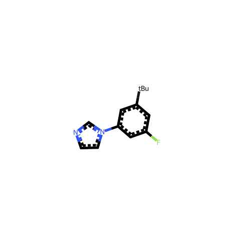 CC(C)(C)c1cc(F)cc(-n2ccnc2)c1